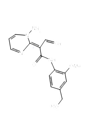 C=C/C(C(=O)Nc1ccc(CO)cc1OC)=C1/N=CC=CN1N